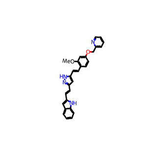 COc1cc(OCc2ccccn2)ccc1C=Cc1cc(C=Cc2cc3ccccc3[nH]2)n[nH]1